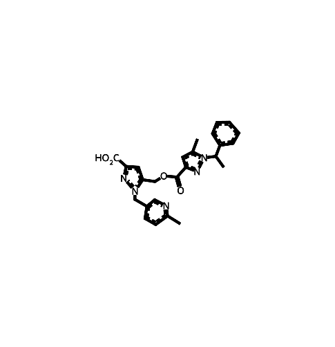 Cc1ccc(Cn2nc(C(=O)O)cc2COC(=O)c2cc(C)n(C(C)c3ccccc3)n2)cn1